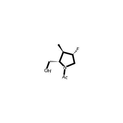 CC(=O)N1C[C@@H](F)[C@H](C)[C@H]1CO